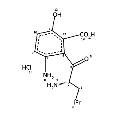 CC(C)C[C@H](N)C(=O)c1c(N)ccc(O)c1C(=O)O.Cl